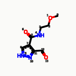 COCCNC(=O)c1c[nH]nc1C=O